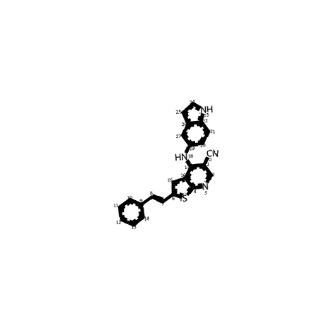 N#Cc1cnc2sc(C=Cc3ccccc3)cc2c1Nc1ccc2[nH]ccc2c1